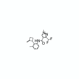 C=C1CCC1c1c(C)cccc1NC(=O)c1cn(C)nc1C(F)F